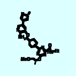 CCNC(=O)c1nc(O[C@H](C)COC)nc(N2CCC(COc3cc(-c4cnn(C)c4)cnc3N)CC2)n1